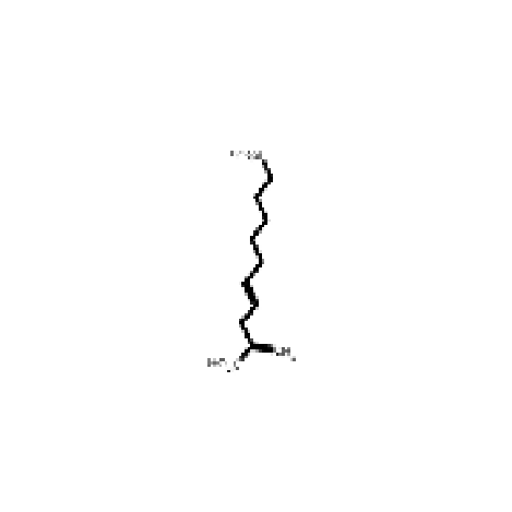 C=C(CC=CCCCCCCCCCCCC)C(=O)O